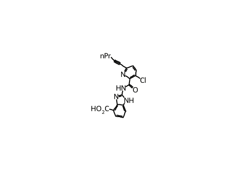 CCCC#Cc1ccc(Cl)c(C(=O)Nc2nc3c(C(=O)O)cccc3[nH]2)n1